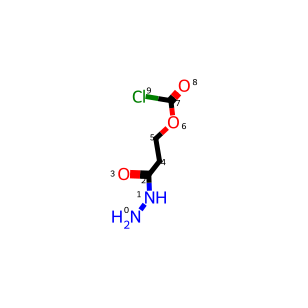 NNC(=O)CCOC(=O)Cl